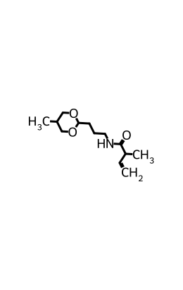 C=CC(C)C(=O)NCCCC1OCC(C)CO1